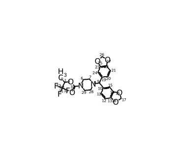 CC(OC(=O)N1CCN(C(c2ccc3c(c2)OCO3)c2ccc3c(c2)OCO3)CC1)C(F)(F)F